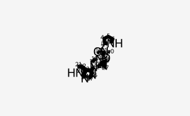 CN(C[C@@H]1CCCN1)S(=O)(=O)N1CCN(c2ncnc3[nH]ccc23)CC12CC2